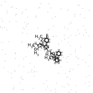 CCC[CH2][Sn]([CH2]CCC)([CH2]CCC)[c]1sc(CCCO[Si](c2ccccc2)(c2ccccc2)C(C)(C)C)nc1-c1ccc(F)cc1